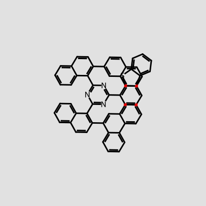 c1ccc2cc(-c3ccc4ccccc4c3-c3nc(-c4c(-c5cc6ccccc6c6ccccc56)ccc5ccccc45)nc(-c4cccc5c4sc4ccccc45)n3)ccc2c1